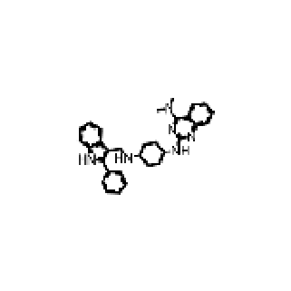 CN(C)c1nc(N[C@H]2CC[C@@H](NCc3c(-c4ccccc4)[nH]c4ccccc34)CC2)nc2ccccc12